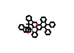 CC1(c2ccccc2)c2ccccc2-c2cccc(N(c3ccc4ccccc4c3)c3ccccc3-c3ccc4c(c3)c(-c3ccccc3)c(-c3ccccc3)c3ccccc34)c21